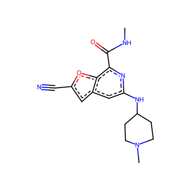 CNC(=O)c1nc(NC2CCN(C)CC2)cc2cc(C#N)oc12